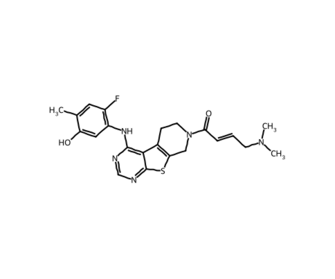 Cc1cc(F)c(Nc2ncnc3sc4c(c23)CCN(C(=O)C=CCN(C)C)C4)cc1O